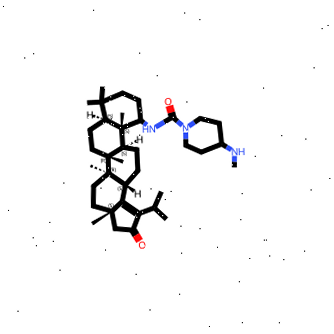 CNC1CCN(C(=O)NC2CCC(C)(C)[C@@H]3CC[C@]4(C)[C@H](CC[C@@H]5C6=C(C(C)C)C(=O)C[C@]6(C)CC[C@]54C)[C@@]23C)CC1